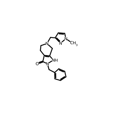 Cn1ccc(CN2CCc3c([nH]n(Cc4ccccc4)c3=O)C2)n1